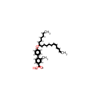 C=C/C=C/C=C\CCCCCC(CCCCCC)Oc1ccc(-c2ccc(C(=O)O)cc2C)cc1